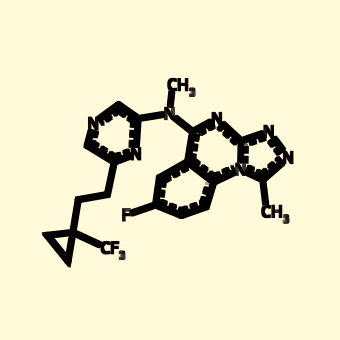 Cc1nnc2nc(N(C)c3cncc(CCC4(C(F)(F)F)CC4)n3)c3cc(F)ccc3n12